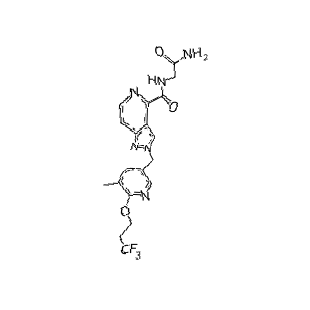 Cc1cc(Cn2cc3c(C(=O)NCC(N)=O)nccc3n2)cnc1OCCC(F)(F)F